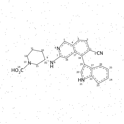 N#Cc1ccc2cnc(N[C@H]3CCCN(C(=O)O)C3)cc2c1-c1c[nH]c2ccccc12